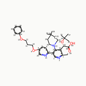 Cc1ncc(-c2ccc(OCCCOc3ccccc3)cn2)c(N2CCC(C)(C)CC2)c1[C@H](OC(C)(C)C)C(=O)O